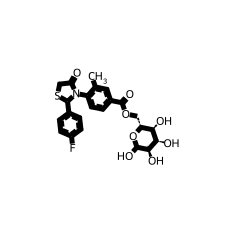 Cc1cc(C(=O)OC[C@H]2OC(O)[C@H](O)[C@@H](O)[C@H]2O)ccc1N1C(=O)CSC1c1ccc(F)cc1